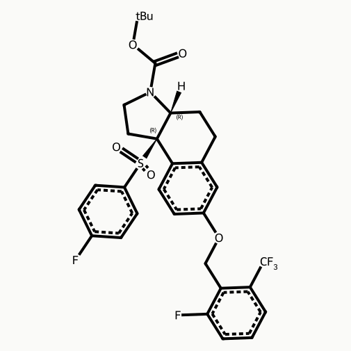 CC(C)(C)OC(=O)N1CC[C@@]2(S(=O)(=O)c3ccc(F)cc3)c3ccc(OCc4c(F)cccc4C(F)(F)F)cc3CC[C@@H]12